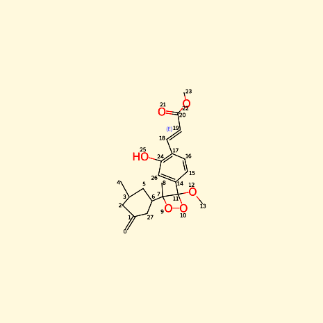 C=C1CC(C)CC(C2(C)OOC2(OC)c2ccc(/C=C/C(=O)OC)c(O)c2)C1